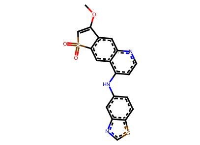 COC1=CS(=O)(=O)c2cc3c(Nc4ccc5scnc5c4)ccnc3cc21